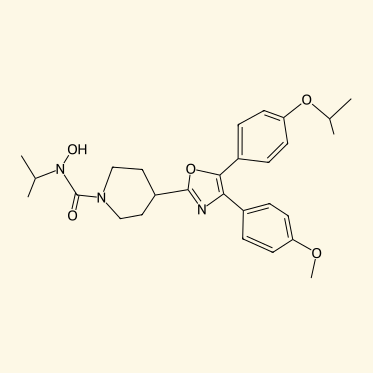 COc1ccc(-c2nc(C3CCN(C(=O)N(O)C(C)C)CC3)oc2-c2ccc(OC(C)C)cc2)cc1